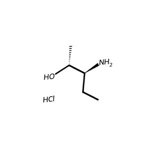 CC[C@H](N)[C@@H](C)O.Cl